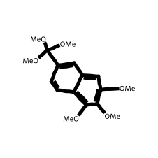 COc1cc2cc(C(OC)(OC)OC)ccc2c(OC)c1OC